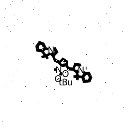 CN(C(=O)OC(C)(C)C)C1=C(/C=C2\C=C[N+]3=C2C(C)(C)c2ccccc23)C=C/C1=C\c1ccn2c1C(C)(C)c1ccccc1-2